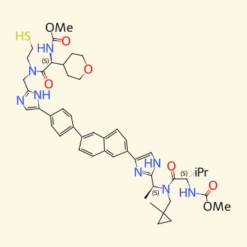 COC(=O)N[C@H](C(=O)N(CC1(C)CC1)[C@@H](C)c1nc(-c2ccc3cc(-c4ccc(-c5cnc(CN(CCS)C(=O)[C@@H](NC(=O)OC)C6CCOCC6)[nH]5)cc4)ccc3c2)c[nH]1)C(C)C